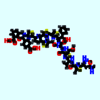 CNC(=O)C[C@H](N)c1nc(C(=O)NC(c2nc(C(=O)NCC(=O)N[C@H](c3nc(-c4nc(-c5nc(-c6nc(N(Cc7cccc(C(=O)O)c7)C(=O)C7CCC(C(=O)O)CC7)cs6)ccc5-c5nc(C=O)cs5)cs4)cs3)[C@@H](O)c3ccccc3)c(COC)s2)C(C)C)c(C)s1